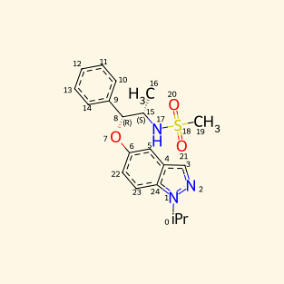 CC(C)n1ncc2cc(O[C@H](c3ccccc3)[C@H](C)NS(C)(=O)=O)ccc21